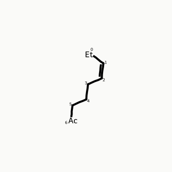 CC/C=C\CCCC(C)=O